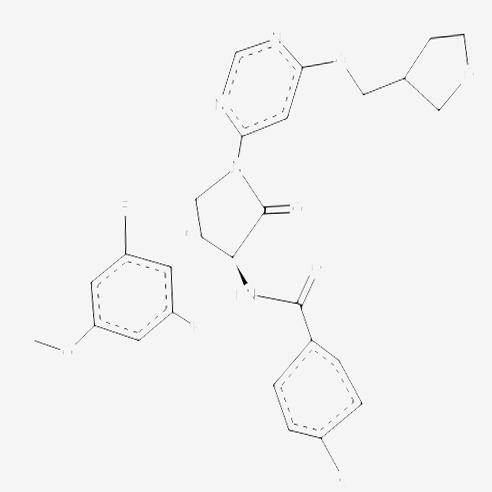 COc1cc(F)c([C@@H]2CN(c3cc(OCC4CCOC4)ncn3)C(=O)[C@H]2NC(=O)c2ccc(Cl)cc2)c(F)c1